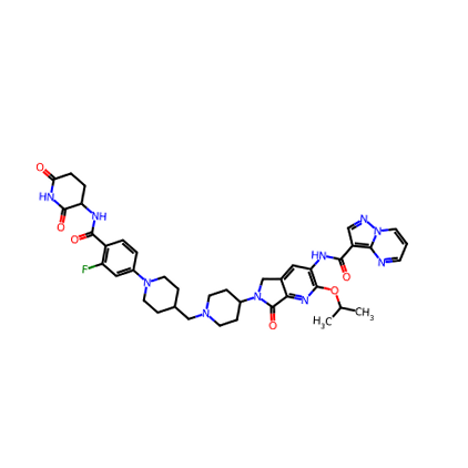 CC(C)Oc1nc2c(cc1NC(=O)c1cnn3cccnc13)CN(C1CCN(CC3CCN(c4ccc(C(=O)NC5CCC(=O)NC5=O)c(F)c4)CC3)CC1)C2=O